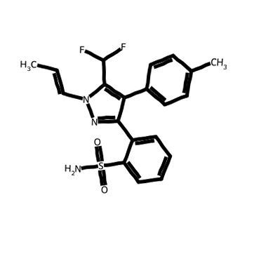 CC=Cn1nc(-c2ccccc2S(N)(=O)=O)c(-c2ccc(C)cc2)c1C(F)F